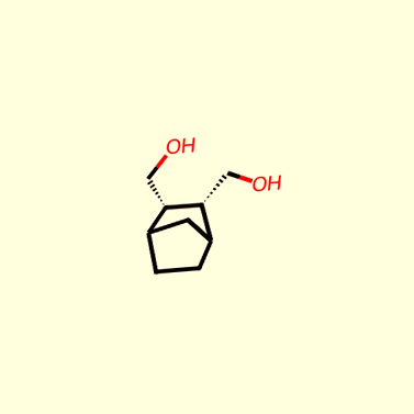 OC[C@@H]1C2CCC(C2)[C@@H]1CO